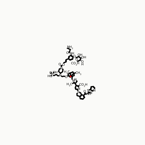 Cc1c(-c2ccc(N3CCc4cccc(C(=O)Nc5nc6ncccc6s5)c4C3)nc2C(=O)O)cnn1CC12CC3(C)CC(C)(C1)CC(OCCN(CCCP(=O)(O)O)C1CCN(C(=O)OCC=Cc4ccc(O[C@@H]5O[C@H](C(=O)O)[C@@H](O)[C@H](O)[C@H]5O)c(NC(=O)CCN)c4)CC1)(C3)C2